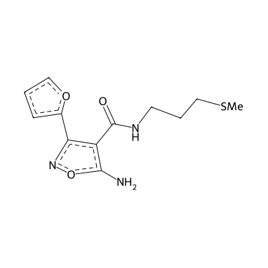 CSCCCNC(=O)c1c(-c2ccco2)noc1N